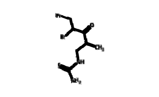 CC(C)CC(Br)C(=O)C(C)CNC(N)=S